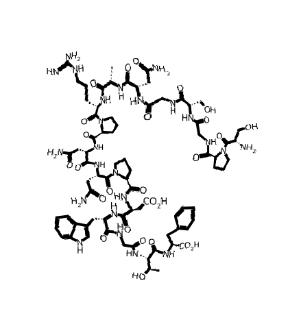 C[C@H](NC(=O)[C@H](CC(N)=O)NC(=O)CNC(=O)[C@H](CO)NC(=O)CNC(=O)[C@@H]1CCCN1C(=O)[C@@H](N)CO)C(=O)N[C@@H](CCCNC(=N)N)C(=O)N1CCC[C@H]1C(=O)N[C@@H](CC(N)=O)C(=O)N[C@@H](CC(N)=O)C(=O)N1CCC[C@H]1C(=O)N[C@@H](CC(=O)O)C(=O)N[C@@H](Cc1c[nH]c2ccccc12)C(=O)NCC(=O)N[C@H](C(=O)N[C@@H](Cc1ccccc1)C(=O)O)[C@@H](C)O